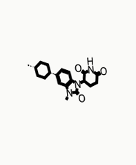 Cn1c(=O)n(C2CCC(=O)NC2=O)c2ccc([C@H]3CC[C@@H](C)CC3)cc21